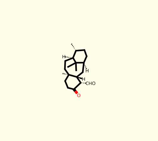 C[C@@H]1CC[C@H]2C[C@@H]3[C@H](C=O)C(=O)CC[C@@]3(C)CC[C@@H]1C2(C)C